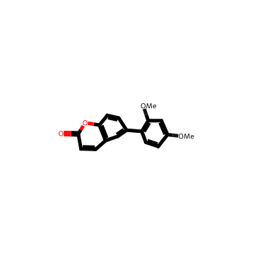 COc1ccc(-c2ccc3oc(=O)ccc3c2)c(OC)c1